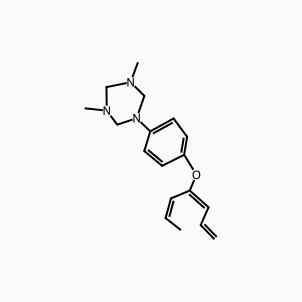 C=C/C=C(\C=C/C)Oc1ccc(N2CN(C)CN(C)C2)cc1